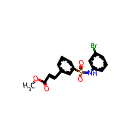 COC(=O)/C=C/c1cccc(S(=O)(=O)Nc2cccc(Br)c2)c1